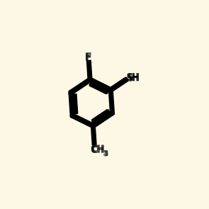 Cc1ccc(F)c(S)c1